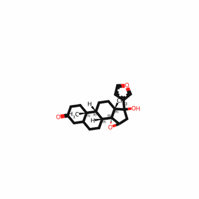 C[C@]12CCC(=O)CC1CC[C@@H]1[C@H]2CC[C@]2(C)C(O)(c3ccoc3)CC3O[C@]312